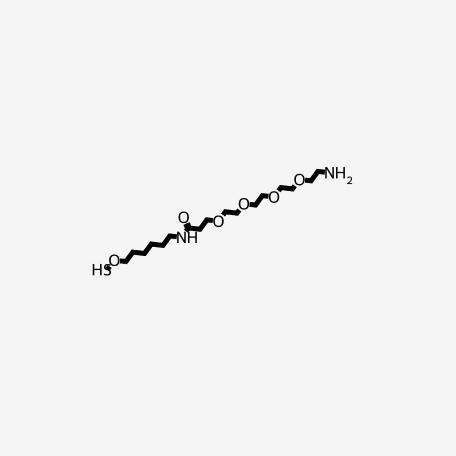 NCCOCCOCCOCCOCCC(=O)NCCCCCCOS